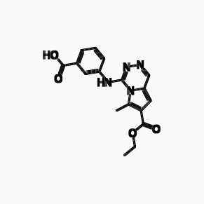 CCOC(=O)c1cc2cnnc(Nc3cccc(C(=O)O)c3)n2c1C